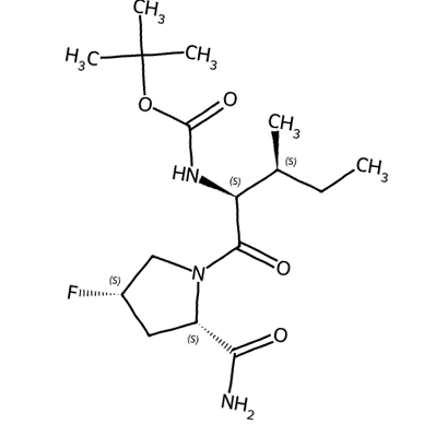 CC[C@H](C)[C@H](NC(=O)OC(C)(C)C)C(=O)N1C[C@@H](F)C[C@H]1C(N)=O